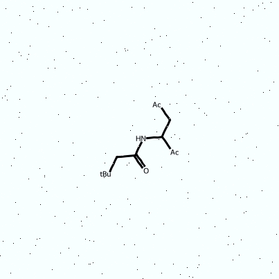 CC(=O)CC(NC(=O)CC(C)(C)C)C(C)=O